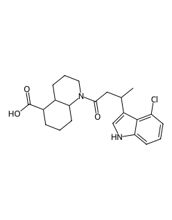 CC(CC(=O)N1CCCC2C(C(=O)O)CCCC21)c1c[nH]c2cccc(Cl)c12